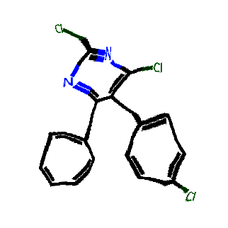 Clc1ccc(-c2c(Cl)nc(Cl)nc2-c2ccccc2)cc1